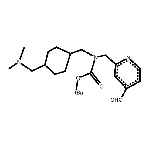 CN(C)CC1CCC(CN(Cc2cc(C=O)ccn2)C(=O)OC(C)(C)C)CC1